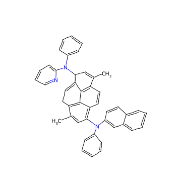 CC1=CC(N(c2ccccc2)c2ccccn2)C2=CCc3c(C)cc(N(c4ccccc4)c4ccc5ccccc5c4)c4ccc1c2c34